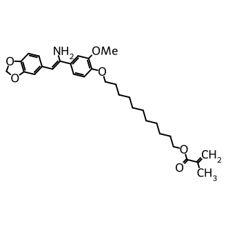 C=C(C)C(=O)OCCCCCCCCCCCOc1ccc(/C(N)=C/c2ccc3c(c2)OCO3)cc1OC